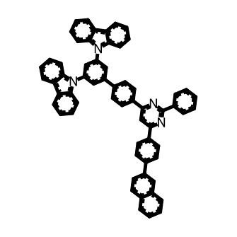 c1ccc(-c2nc(-c3ccc(-c4cc(-n5c6ccccc6c6ccccc65)cc(-n5c6ccccc6c6ccccc65)c4)cc3)cc(-c3ccc(-c4ccc5ccccc5c4)cc3)n2)cc1